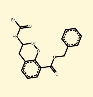 CCC(=O)NC1BOc2c(cccc2C(=O)OCc2ccccc2)C1